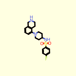 O=S(=O)(NC1CCN(c2cccc3c2CCNC3)CC1)c1ccc(F)cc1